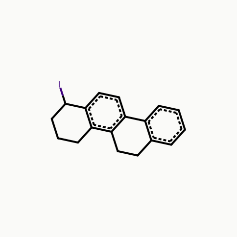 IC1CCCc2c1ccc1c2CCc2ccccc2-1